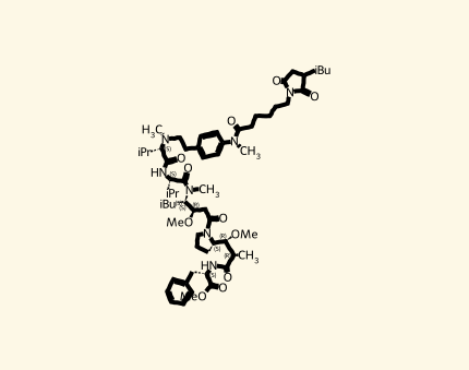 CCC(C)C1CC(=O)N(CCCCCC(=O)N(C)c2ccc(CCN(C)[C@H](C(=O)N[C@H](C(=O)N(C)[C@@H]([C@@H](C)CC)[C@@H](CC(=O)N3CCC[C@H]3[C@H](OC)[C@@H](C)C(=O)N[C@@H](Cc3ccccc3)C(=O)OC)OC)C(C)C)C(C)C)cc2)C1=O